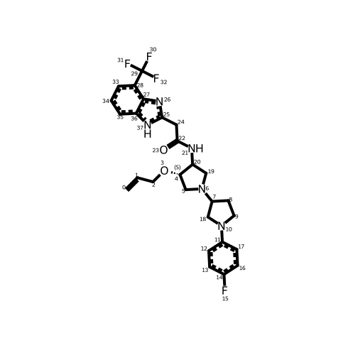 C=CCO[C@H]1CN(C2CCN(c3ccc(F)cc3)C2)CC1NC(=O)Cc1nc2c(C(F)(F)F)cccc2[nH]1